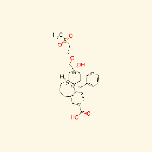 CS(=O)(=O)CCOC[C@@]1(O)CC[C@@]2(Cc3ccccc3)c3ccc(C(=O)O)cc3CCC[C@H]2C1